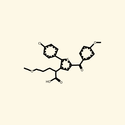 COCCCC(C(=O)O)c1cc(C(=O)c2ccc(OC)cc2)sc1-c1ccc(Cl)cc1